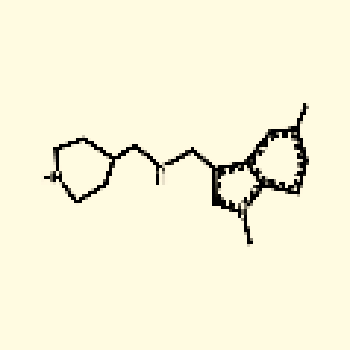 Cc1ccc2c(c1)c(CNCC1CCNCC1)cn2C